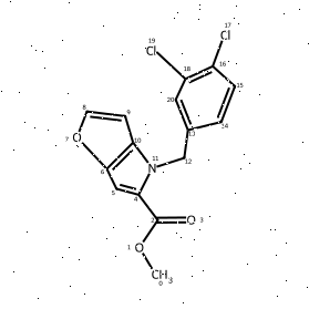 COC(=O)c1cc2occc2n1Cc1ccc(Cl)c(Cl)c1